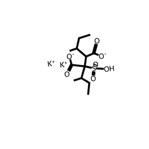 CCC(C)C(C(=O)[O-])C(C(=O)[O-])(C(C)CC)S(=O)(=O)O.[K+].[K+]